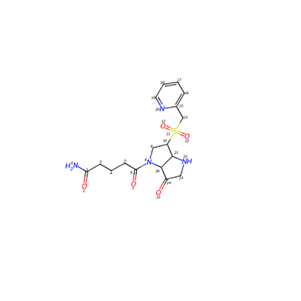 NC(=O)CC[CH]C(=O)N1CC(S(=O)(=O)Cc2ccccn2)C2NCC(=O)C21